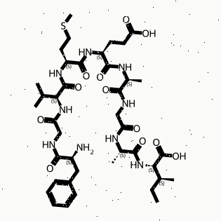 CC[C@H](C)[C@H](NC(=O)[C@H](C)NC(=O)CNC(=O)[C@H](C)NC(=O)[C@H](CCC(=O)O)NC(=O)[C@H](CCSC)NC(=O)[C@@H](NC(=O)CNC(=O)[C@@H](N)Cc1ccccc1)C(C)C)C(=O)O